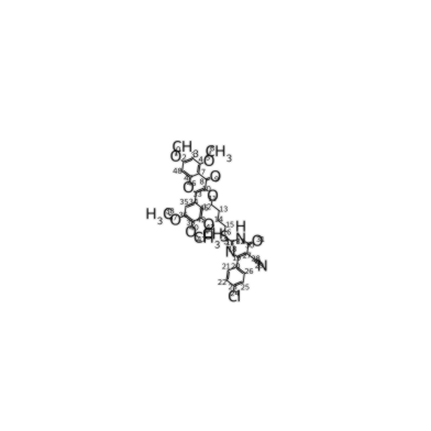 COc1cc(OC)c2c(=O)c(OCCCCSc3nc(-c4ccc(Cl)cc4)c(C#N)c(=O)[nH]3)c(-c3cc(OC)c(OC)c(OC)c3)oc2c1